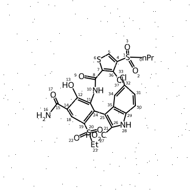 CCCS(=O)(=O)c1csc(C(=O)Nc2c(O)c(C(N)=O)cc(S(=O)(=O)CC)c2-c2c(C(=O)O)[nH]c3ccc(Cl)cc23)c1Cl